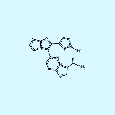 CC(C)n1ccc(-c2nc3sccn3c2-c2ccc3ncc(C(N)=O)n3n2)n1